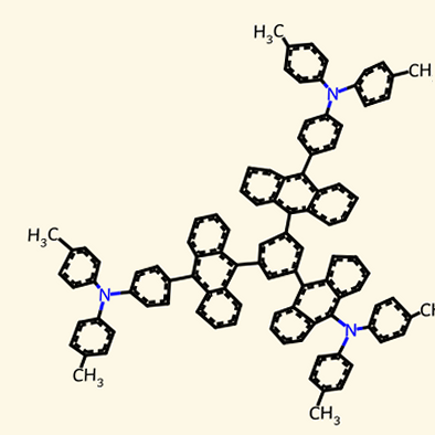 Cc1ccc(N(c2ccc(C)cc2)c2ccc(-c3c4ccccc4c(-c4cc(-c5c6ccccc6c(-c6ccc(N(c7ccc(C)cc7)c7ccc(C)cc7)cc6)c6ccccc56)cc(-c5c6ccccc6c(N(c6ccc(C)cc6)c6ccc(C)cc6)c6ccccc56)c4)c4ccccc34)cc2)cc1